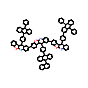 c1ccc(-c2c3ccccc3c(-c3ccc(-c4c5cc(-c6ccc7c(c6)oc6nc8ccc(-c9ccc%10c(c9)oc9nc%11ccccc%11c(-c%11ccc(-c%12ccc%13c(-c%14ccccc%14)c%14ccccc%14c(-c%14ccccc%14)c%13c%12)cc%11)c9%10)cc8c(-c8ccc(-c9c%10ccccc%10c(-c%10cccc%11ccccc%10%11)c%10ccccc9%10)cc8)c67)ccc5nc5oc6ccccc6c45)cc3)c3ccccc23)cc1